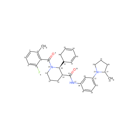 Cc1cccc(F)c1C(=O)N1CCCC(C(=O)Nc2cccc(N3CCCC3C)c2)[C@@H]1C1C=CC=CC1